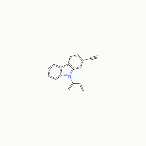 C#Cc1ccc2c3ccccc3n(C(=C)C=C)c2c1